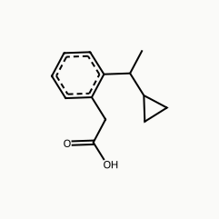 CC(c1ccccc1CC(=O)O)C1CC1